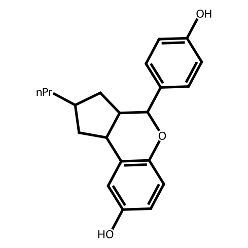 CCCC1CC2c3cc(O)ccc3OC(c3ccc(O)cc3)C2C1